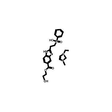 CCN1C=CN(C)C1.O=C(OCCO)c1ccc2[nH]c(CCP(=O)(O)c3ccccc3)nc2c1